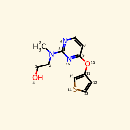 CN(CCO)c1nccc(Oc2ccsc2)n1